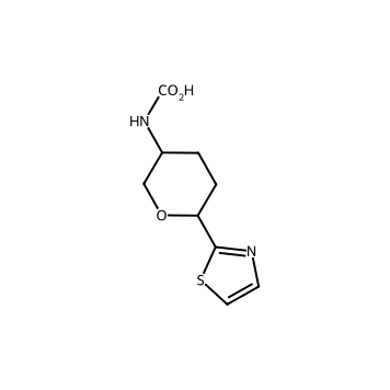 O=C(O)NC1CCC(c2nccs2)OC1